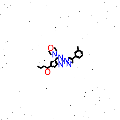 CCCC(=O)C1=Cc2nc(-n3cc(-c4cccc(C)c4)cn3)nc(N3CCOCC3)c2C1